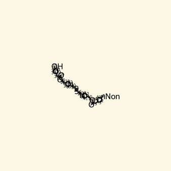 [CH2]CCCCCCCCc1ccc(CC(=O)OCCC2CCN(CCSSCCN3CCC(CCOC(=O)Cc4ccc(O)cc4)CC3)CC2)cc1